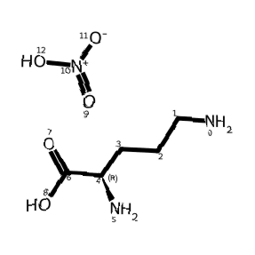 NCCC[C@@H](N)C(=O)O.O=[N+]([O-])O